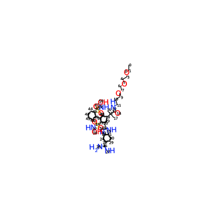 CCOCCOCCOCCCNC(=O)C(C)(C)c1cc(-c2nc3cc(C(=N)N)ccc3[nH]2)c(S(=O)(=O)NO)c(-c2ccccc2S(=O)(=O)NO)c1